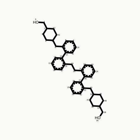 OCC1CCC(Cc2ccccc2-c2ccccc2CCc2ccccc2-c2ccccc2CC2CCC(CO)CC2)CC1